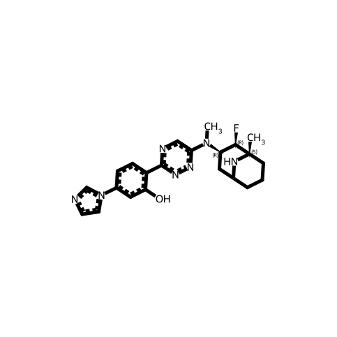 CN(c1cnc(-c2ccc(-n3ccnc3)cc2O)nn1)[C@@H]1CC2CCC[C@](C)(N2)[C@@H]1F